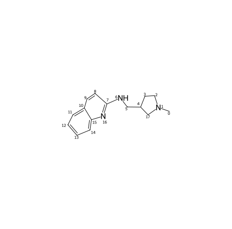 CN1CCC(CNc2ccc3ccccc3n2)C1